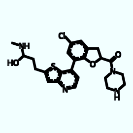 CNC(O)CCc1cc2nccc(-c3cc(Cl)cc4c3OC(C(=O)N3CCNCC3)C4)c2s1